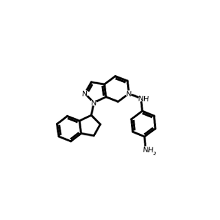 Nc1ccc(NN2C=Cc3cnn(C4CCc5ccccc54)c3C2)cc1